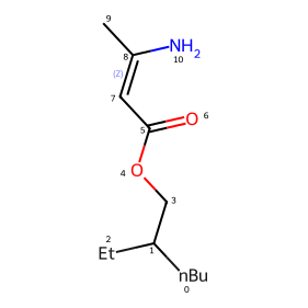 CCCCC(CC)COC(=O)/C=C(/C)N